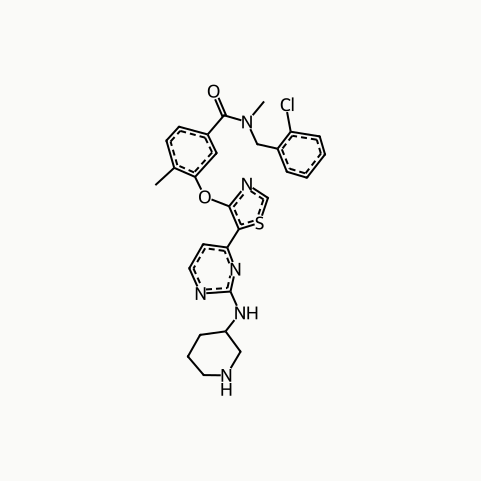 Cc1ccc(C(=O)N(C)Cc2ccccc2Cl)cc1Oc1ncsc1-c1ccnc(NC2CCCNC2)n1